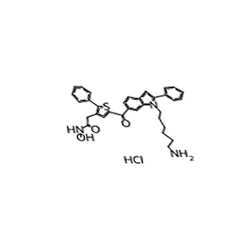 Cl.NCCCCCCn1c(-c2ccccc2)cc2ccc(C(=O)c3cc(CC(=O)NO)c(-c4ccccc4)s3)cc21